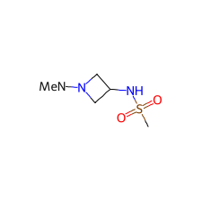 CNN1CC(NS(C)(=O)=O)C1